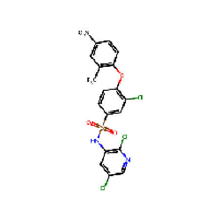 O=[N+]([O-])c1ccc(Oc2ccc(S(=O)(=O)Nc3cc(Cl)cnc3Cl)cc2Cl)c(C(F)(F)F)c1